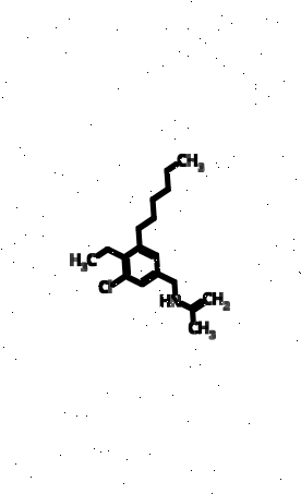 C=C(C)NCc1cc(Cl)c(CC)c(CCCCCC)c1